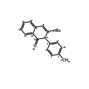 Cc1ccc(-n2c(C(C)(C)C)cc3ccccc3c2=O)cc1